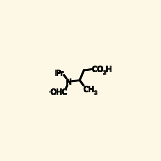 CC(C)N([C]=O)C(C)CC(=O)O